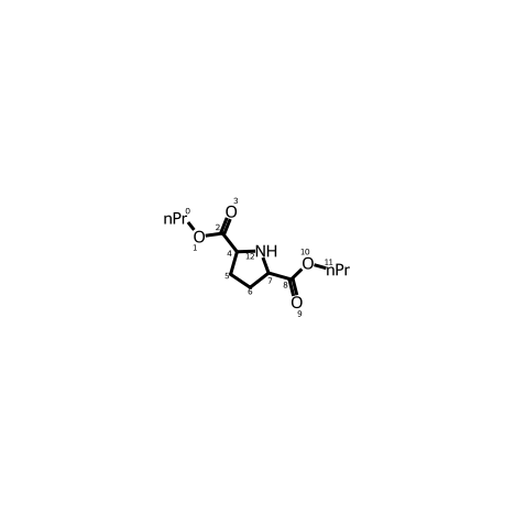 CCCOC(=O)C1CCC(C(=O)OCCC)N1